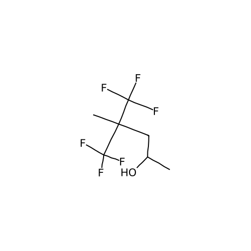 CC(O)CC(C)(C(F)(F)F)C(F)(F)F